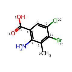 Cc1c(N)c(C(=O)O)cc(Cl)c1Br